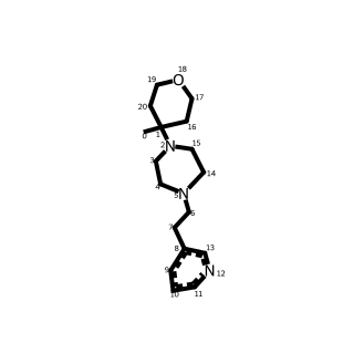 CC1(N2CCN(CCc3cccnc3)CC2)CCOCC1